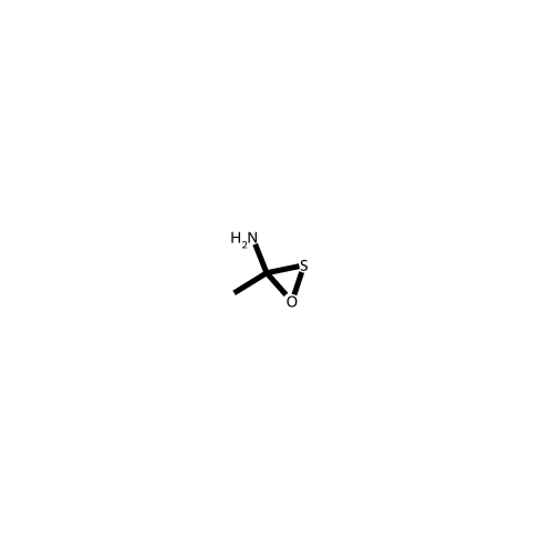 CC1(N)OS1